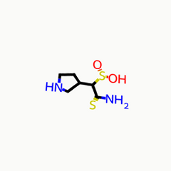 NC(=S)[C](C1CCNC1)S(=O)O